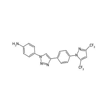 Nc1ccc(-n2cc(-c3ccc(-n4nc(C(F)(F)F)cc4C(F)(F)F)cc3)nn2)cc1